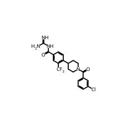 N=C(N)NC(=O)c1ccc(C2CCN(C(=O)c3cccc(Cl)c3)CC2)c(C(F)(F)F)c1